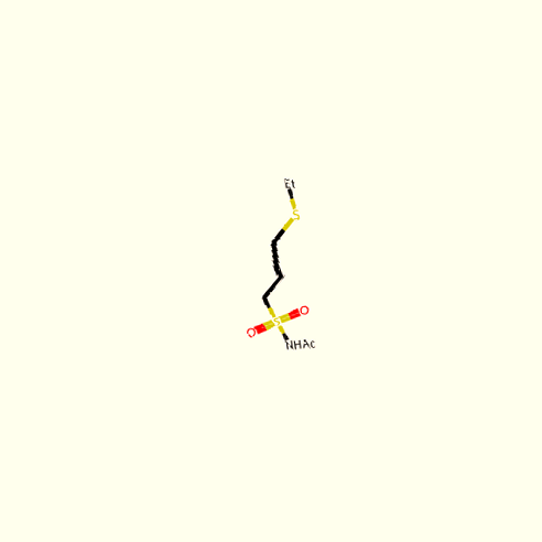 CCSCCCS(=O)(=O)NC(C)=O